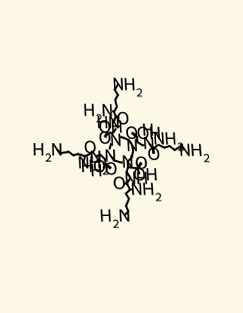 NCCCCC(N)C(=O)NCC(C(=O)O)N1CCN(C(CNC(=O)C(N)CCCCN)C(=O)O)CCN(C(CNC(=O)C(N)CCCCN)C(=O)O)CCN(C(CNC(=O)C(N)CCCCN)C(=O)O)CC1